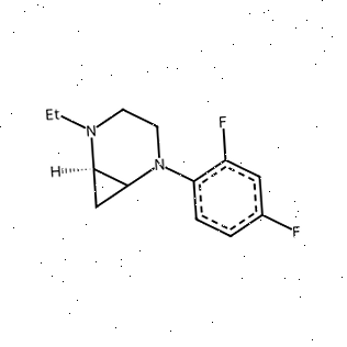 CCN1CCN(c2ccc(F)cc2F)C2C[C@H]21